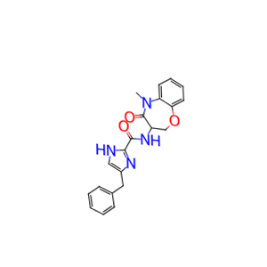 CN1C(=O)C(NC(=O)c2nc(Cc3ccccc3)c[nH]2)COc2ccccc21